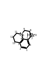 Br.c1cc2c3c(c1)CCCN3CCC2